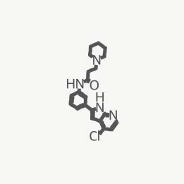 O=C(CCN1CCCCC1)Nc1cccc(-c2cc3c(Cl)ccnc3[nH]2)c1